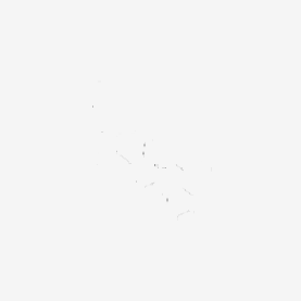 C=C(C)c1ccccc1C(=C)NC1=CCC(CCCC)C(C)=C1